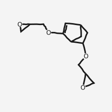 C1=C(OCC2CO2)C2CC1CC2OCC1CO1